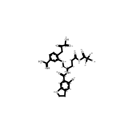 N=C(N)c1ccc(CC(=O)C(=O)O)c(OC[C@@H](CCC(=O)OC(=O)C(F)(F)F)NC(=O)c2cc3c(cc2Br)CCO3)c1